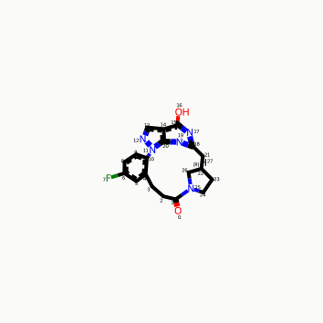 O=C1CCc2cc(F)ccc2-n2ncc3c(O)nc(nc32)C[C@H]2CCN1C2